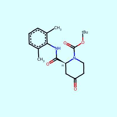 Cc1cccc(C)c1NC(=O)[C@@H]1CC(=O)CCN1C(=O)OC(C)(C)C